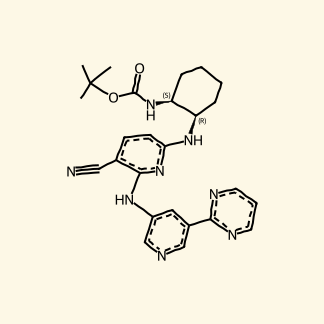 CC(C)(C)OC(=O)N[C@H]1CCCC[C@H]1Nc1ccc(C#N)c(Nc2cncc(-c3ncccn3)c2)n1